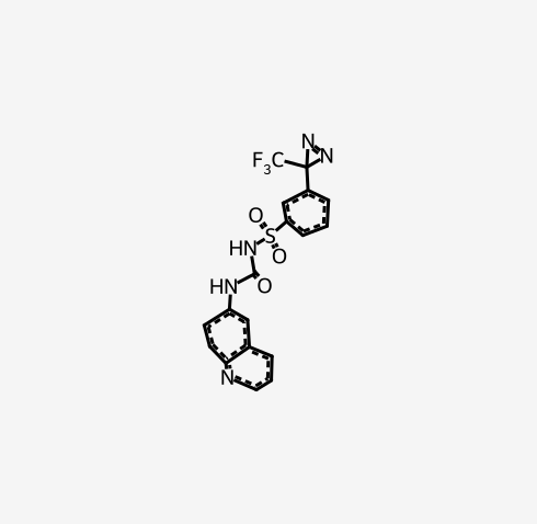 O=C(Nc1ccc2ncccc2c1)NS(=O)(=O)c1cccc(C2(C(F)(F)F)N=N2)c1